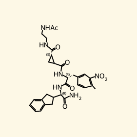 CC(=O)NCCNC(=O)[C@H]1CC1C(=O)N[C@H](Cc1ccc(C)c([N+](=O)[O-])c1)C(=O)N[C@@H](C(N)=O)C1Cc2ccccc2C1